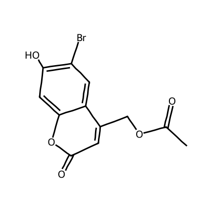 CC(=O)OCc1cc(=O)oc2cc(O)c(Br)cc12